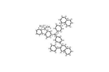 CC1(C)c2ccccc2-c2ccc(N(c3ccc(-c4cc5ccccc5cc4-c4ccccc4)cc3)c3ccc(-c4cccc5ccccc45)cc3)cc21